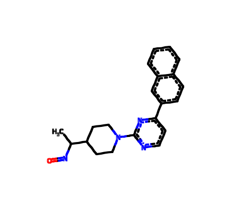 CC(N=O)C1CCN(c2nccc(-c3ccc4ccccc4c3)n2)CC1